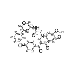 O=C(Cn1cc(C(=O)c2ccc(Cl)cc2)c(=O)c2cc3c(cc21)OCO3)NC1=COC=C(C2=CC=CCC2)O1